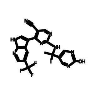 CC(I)(Nc1ncc(C#N)c(-c2c[nH]c3ncc(C(F)(F)F)cc23)n1)c1cnc(O)nc1